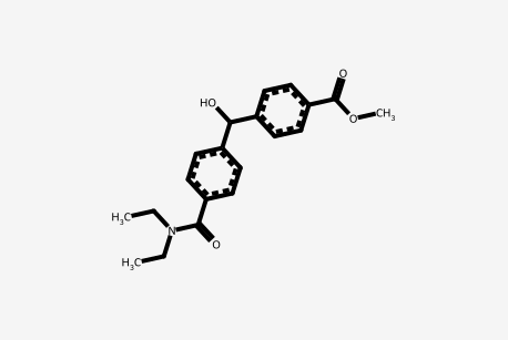 CCN(CC)C(=O)c1ccc(C(O)c2ccc(C(=O)OC)cc2)cc1